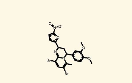 COc1ccc(C2CC(c3ccc([N+](=O)[O-])o3)N=C3C(Br)=CC(Br)=C(C)N32)cc1OC